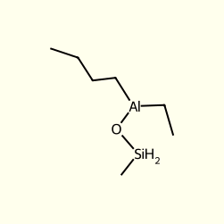 CCC[CH2][Al]([CH2]C)[O][SiH2]C